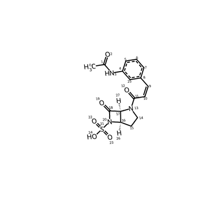 CC(=O)Nc1cccc(/C=C\C(=O)N2CC[C@@H]3[C@H]2C(=O)N3S(=O)(=O)O)c1